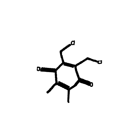 CC1=C(C)C(=O)C(CCl)=C(CCl)C1=O